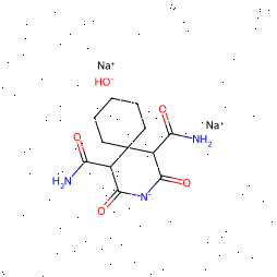 NC(=O)C1C(=O)[N-]C(=O)C(C(N)=O)C12CCCCC2.[Na+].[Na+].[OH-]